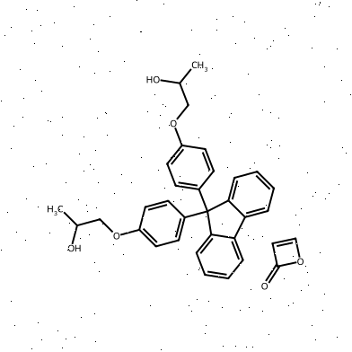 CC(O)COc1ccc(C2(c3ccc(OCC(C)O)cc3)c3ccccc3-c3ccccc32)cc1.O=C1C=CO1